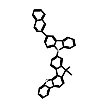 CC1(C)c2cc(-n3c4ccccc4c4cc(-c5ccc6ccccc6c5)ccc43)ccc2-c2c1ccc1c2oc2ccccc21